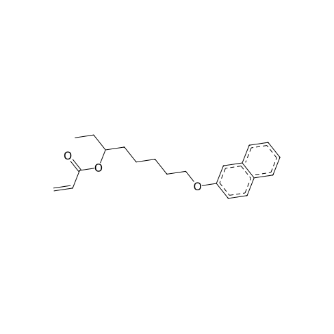 C=CC(=O)OC(CC)CCCCCOc1ccc2ccccc2c1